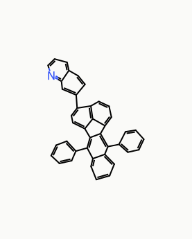 c1ccc(-c2c3c(c(-c4ccccc4)c4ccccc24)-c2ccc(-c4ccc5cccnc5c4)c4cccc-3c24)cc1